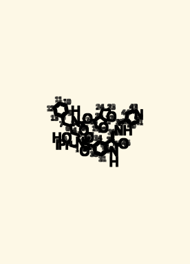 CC(C)CN(CC(O)C(Cc1ccccc1)NC(=O)OC1COC2OCCC12)S(=O)(=O)c1ccc2c(c1)/C(=C/NCc1ccncc1)C(=O)N2